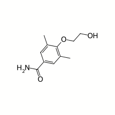 Cc1cc(C(N)=O)cc(C)c1OCCO